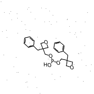 OP(OCC1(Cc2ccccc2)COC1)OCC1(Cc2ccccc2)COC1